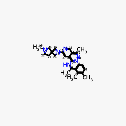 Cc1cccc([C@@H](C)Nc2nnc(C)c3cnc(N4CC5(CCN(C)C5)C4)cc23)c1C